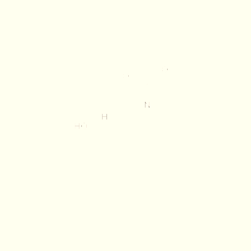 O=C1OC[C@@H]2C(CO)c3ccccc3CN12